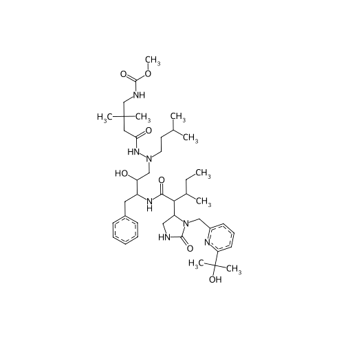 CCC(C)C(C(=O)NC(Cc1ccccc1)C(O)CN(CCC(C)C)NC(=O)CC(C)(C)CNC(=O)OC)C1CNC(=O)N1Cc1cccc(C(C)(C)O)n1